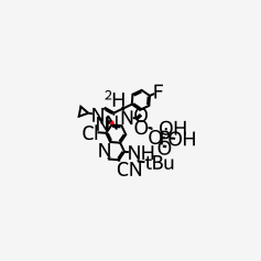 [2H]C(c1ccc(F)cc1)(c1cn(C2CC2)nn1)N(C(=O)OCOP(=O)(O)O)c1cc(Cl)c2ncc(C#N)c(NCC(C)(C)C)c2c1